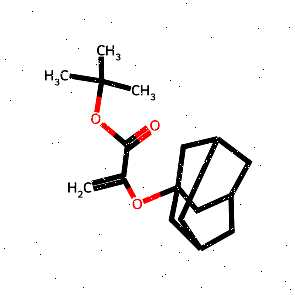 C=C(OC12CC3CC(CC(C3)C1)C2)C(=O)OC(C)(C)C